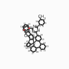 Cc1cccc(-c2nc(-c3ccccc3)nc(-c3ccc4c(c3)C3(c5ccccc5-c5ccccc5-4)c4ccccc4-c4c3ccc3c4oc4ccccc43)n2)c1